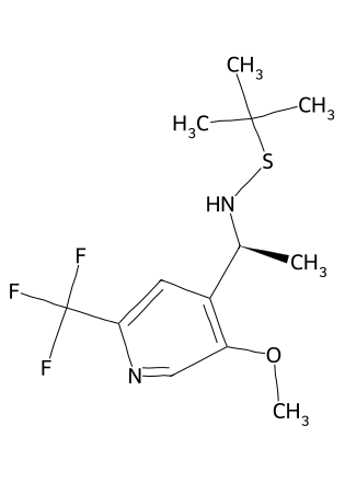 COc1cnc(C(F)(F)F)cc1[C@H](C)NSC(C)(C)C